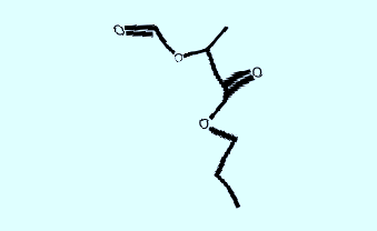 CCCOC(=O)C(C)OC=O